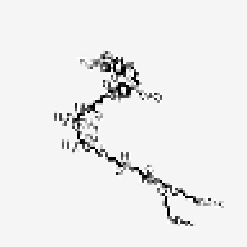 CCCCCCCCCCCCCCOCC(CNC(=O)CCCNC(=O)CCOCCOC(C)(C)CCOC(C)(C)CCNC(=O)CCCNC(=O)c1ccc(N(C=O)Cc2cnc3nc(/N=C\N(C)C)[nH]c(=O)c3n2)cc1)OCCCCCCCCCCCCCC